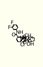 Cn1nccc1C(O)C1(O)C2CCC1CC(S(=O)(=O)c1cc(C(=O)Nc3ccc(F)c(F)c3)ccc1Cl)C2